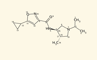 CC(C)N1C[C@H](NC(=O)c2cc(C3CC3)on2)[C@@H](C)C1